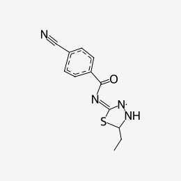 CCC1N[N]C(=NC(=O)c2ccc(C#N)cc2)S1